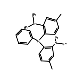 Cc1ccc(N(c2ccccc2)c2ccc(C)cc2N(C(C)C)C(C)C)c(N(C(C)C)C(C)C)c1